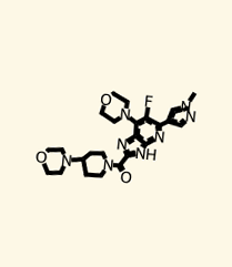 Cn1cc(-c2nc3[nH]c(C(=O)N4CCC(N5CCOCC5)CC4)nc3c(N3CCOCC3)c2F)cn1